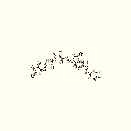 CC(CNC(=O)CSC1CC(=O)N(C)C1=O)NC(=O)CSC1CC(=O)N(NC(=O)OCc2ccccc2)C1=O